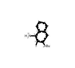 CCCCc1cc2ccccc2c(N)c1C